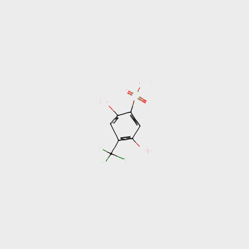 O=S(=O)(O)c1cc(O)c(C(F)(F)F)cc1O